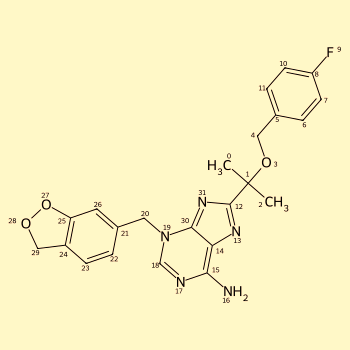 CC(C)(OCc1ccc(F)cc1)c1nc2c(N)ncn(Cc3ccc4c(c3)OOC4)c-2n1